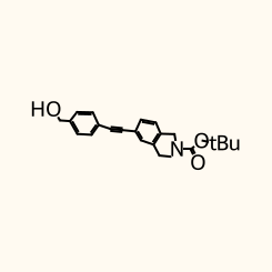 CC(C)(C)OC(=O)N1CCc2cc(C#Cc3ccc(CO)cc3)ccc2C1